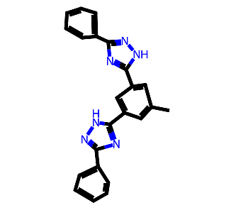 Cc1cc(-c2nc(-c3ccccc3)n[nH]2)cc(-c2nc(-c3ccccc3)n[nH]2)c1